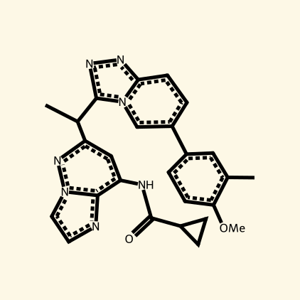 COc1ccc(-c2ccc3nnc(C(C)c4cc(NC(=O)C5CC5)c5nccn5n4)n3c2)cc1C